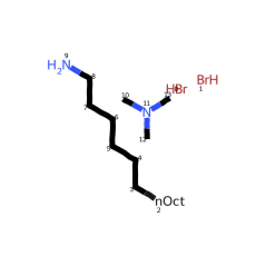 Br.Br.CCCCCCCCCCCCCCN.CN(C)C